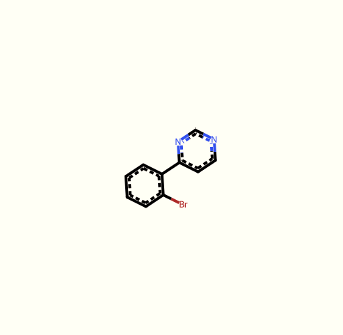 Brc1ccccc1-c1ccn[c]n1